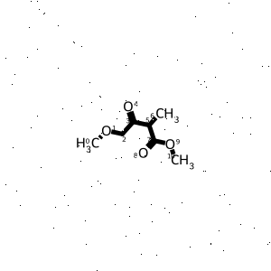 COCC(=O)C(C)C(=O)OC